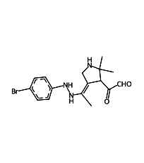 CC(NNc1ccc(Br)cc1)=C1CNC(C)(C)C1C(=O)C=O